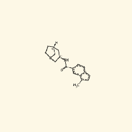 Cc1ccn2ccc(C(=O)N[C@@H]3C[C@H]4CCN(C4)C3)cc12